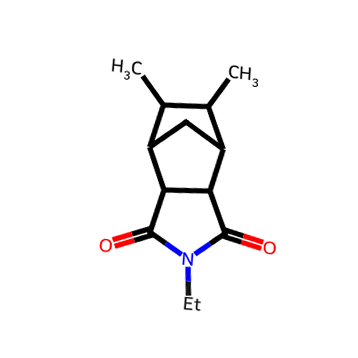 CCN1C(=O)C2C3CC(C(C)C3C)C2C1=O